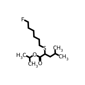 CC(C)CC(SCCCCCCF)C(=O)OC(C)C